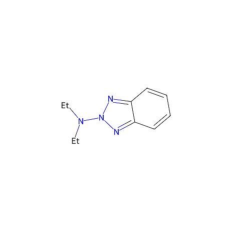 CCN(CC)n1nc2ccccc2n1